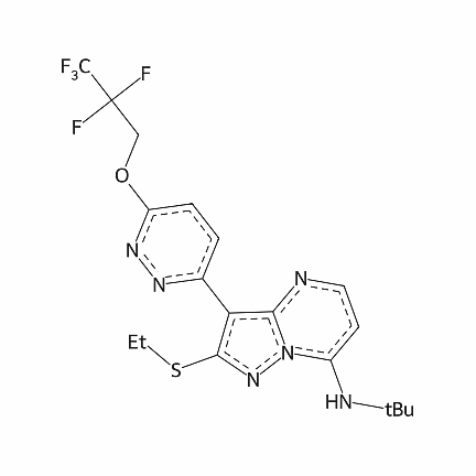 CCSc1nn2c(NC(C)(C)C)ccnc2c1-c1ccc(OCC(F)(F)C(F)(F)F)nn1